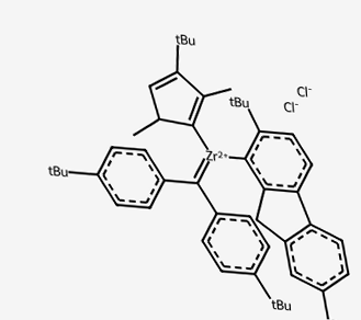 CC1=[C]([Zr+2](=[C](c2ccc(C(C)(C)C)cc2)c2ccc(C(C)(C)C)cc2)[c]2c(C(C)(C)C)ccc3c2Cc2cc(C(C)(C)C)ccc2-3)C(C)C=C1C(C)(C)C.[Cl-].[Cl-]